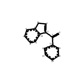 C=C(C1=CCc2ccccc21)c1ccccc1